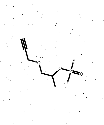 C#CCOCC(C)OP(=O)(F)F